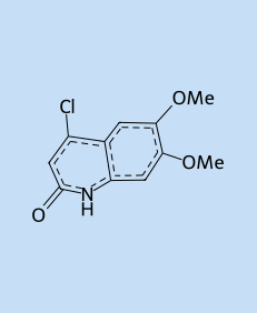 COc1cc2[nH]c(=O)cc(Cl)c2cc1OC